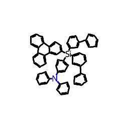 c1ccc(-c2cccc([Si](c3ccc(N(c4ccccc4)c4ccccc4)cc3)(c3cccc(-c4ccccc4)c3)c3ccc4c5ccccc5c5ccccc5c4c3)c2)cc1